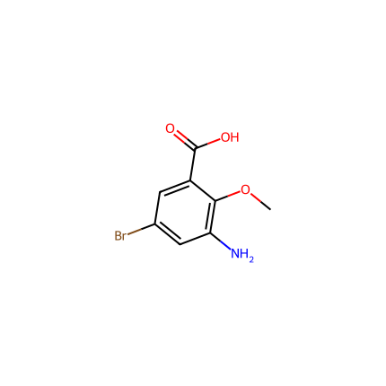 COc1c(N)cc(Br)cc1C(=O)O